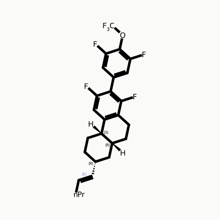 CCC/C=C/[C@@H]1CC[C@@H]2c3cc(F)c(-c4cc(F)c(OC(F)(F)F)c(F)c4)c(F)c3CC[C@@H]2C1